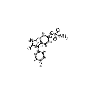 NC(=O)N(c1ccc(I)cc1)c1ccc(OS(N)(=O)=O)cc1